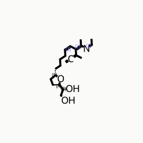 C=C=C(C)C(/C=C\CCCC[C@H]1CC[C@H]([C@H](O)CO)O1)=C(C)\N=C/C